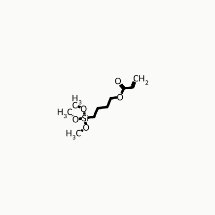 C=CC(=O)OCCCC[Si](OC)(OC)OC